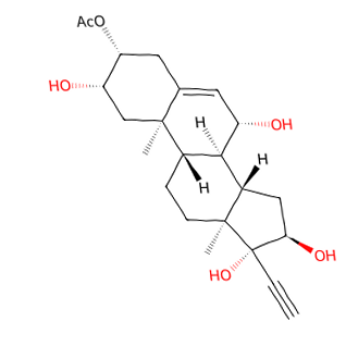 C#C[C@]1(O)[C@H](O)C[C@H]2[C@@H]3[C@@H](O)C=C4C[C@@H](OC(C)=O)[C@@H](O)C[C@]4(C)[C@H]3CC[C@@]21C